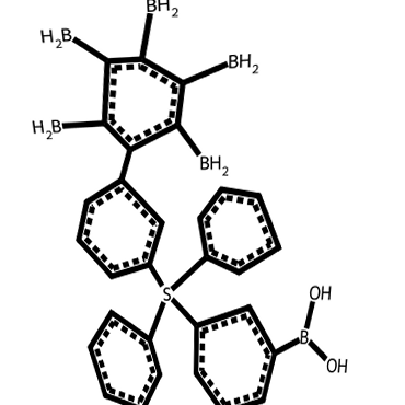 Bc1c(B)c(B)c(-c2cccc(S(c3ccccc3)(c3ccccc3)c3cccc(B(O)O)c3)c2)c(B)c1B